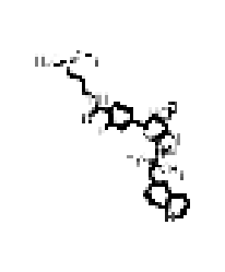 CN(C)CCCNC(=O)c1ccc(-c2ccc3nnn(C(C)(C)Cc4ccc5ncccc5c4)c3n2)cc1F.Cl.Cl